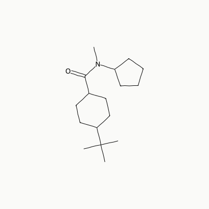 CN(C(=O)C1CCC(C(C)(C)C)CC1)C1CCCC1